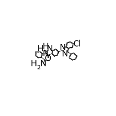 NCc1ccccc1NC(=O)c1ccc(-c2nc(-c3ccccc3)c3cc(Cl)ccc3n2)cc1N